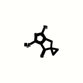 CCc1sc(C)c2c1CC1(CC1)C2=O